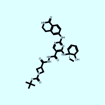 CC[C@]1(Nc2nc(Nc3ccc4c(c3)CCNC4=O)ncc2C(=O)NNC(=O)C2CN(C(=O)OC(C)(C)C)C2)C=CC=CC1O